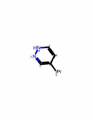 CC(C)C1=C=NNC=C1